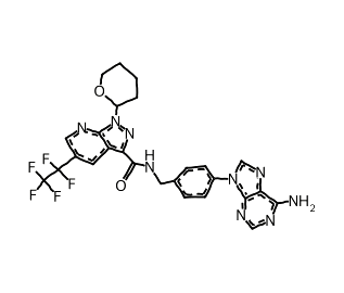 Nc1ncnc2c1ncn2-c1ccc(CNC(=O)c2nn(C3CCCCO3)c3ncc(C(F)(F)C(F)(F)F)cc23)cc1